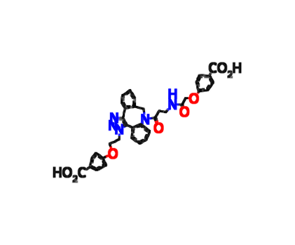 O=C(COc1ccc(C(=O)O)cc1)NCCC(=O)N1Cc2ccccc2-c2nnn(CCOc3ccc(C(=O)O)cc3)c2-c2ccccc21